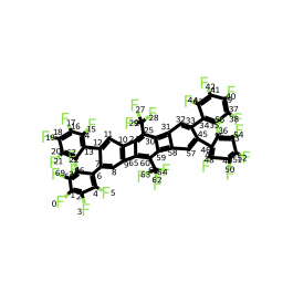 Fc1c(F)c(F)c(-c2cc3c(cc2-c2c(F)c(F)c(F)c(F)c2F)c2c(C(F)(F)F)c4c5cc(-c6c(F)c(F)c(F)c(F)c6F)c(-c6c(F)c(F)c(F)c(F)c6F)cc5c4c(C(F)(F)F)c32)c(F)c1F